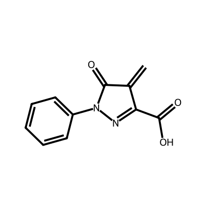 C=C1C(=O)N(c2ccccc2)N=C1C(=O)O